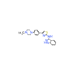 CN1CCN(c2ccc(-c3csc(NC4=NNC5C=CC=CC45)n3)cc2)CC1